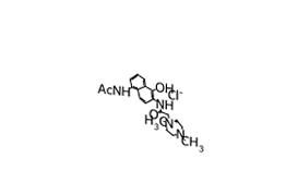 CC(=O)Nc1cccc2c(O)c(NC(=O)C[N+]3(C)CCN(C)CC3)ccc12.[Cl-]